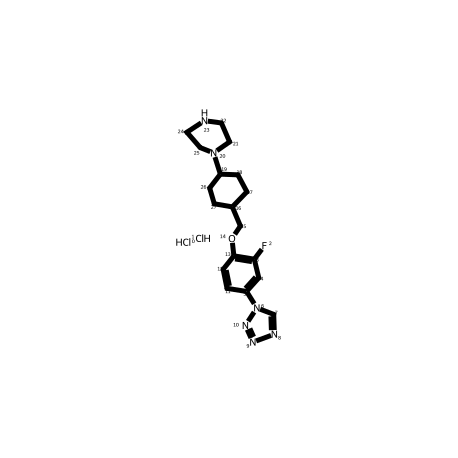 Cl.Cl.Fc1cc(-n2cnnn2)ccc1OCC1CCC(N2CCNCC2)CC1